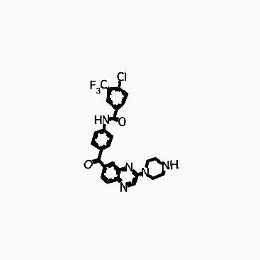 O=C(Nc1ccc(C(=O)c2ccc3ncc(N4CCNCC4)nc3c2)cc1)c1ccc(Cl)c(C(F)(F)F)c1